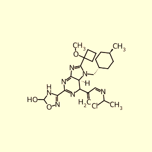 C=C(/C=N\C(C)Cl)C1N=C(C2=NOC(O)N2)N=C2N=C(C3(OC)CCC3)N(C[C@H]3CC[C@H](C)CC3)[C@H]21